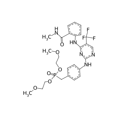 CNC(=O)c1ccccc1Nc1nc(Nc2ccc(CP(=O)(OCCOC)OCCOC)cc2)ncc1C(F)(F)F